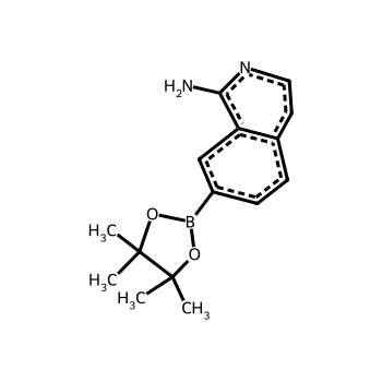 CC1(C)OB(c2ccc3ccnc(N)c3c2)OC1(C)C